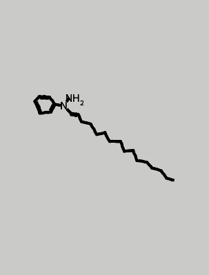 CCCCCCCCCCCCCCC=CN(N)c1ccccc1